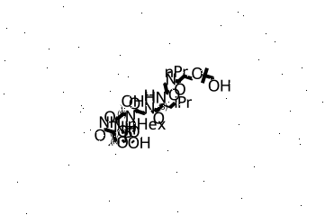 CCCCCCOP(=O)(O)O[C@H](C)[C@H](NC(=O)[C@H](CO)NC(=O)CNC(=O)[C@H](CC(C)C)NC(=O)CN(CCC)C(=O)CCOC(C)(C)CO)C(N)=O